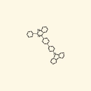 c1ccc(-c2nc(-c3ccc(-c4ccc(-n5c6ccccc6c6ccccc65)cc4)cc3)c3ccccc3n2)cc1